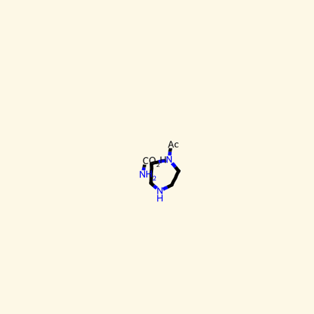 CC(=O)N1CCNCC1.NC(=O)O